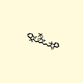 CN(C(=O)OC(C)(C)C)C(=C\C=C\C1=[N+](C)c2ccccc2C1(C)C)/C=C/C=C1/N(C)c2ccccc2C1(C)C